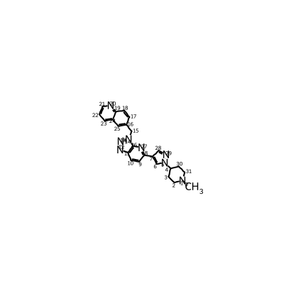 CN1CCC(n2cc(-c3ccc4nnn(Cc5ccc6ncccc6c5)c4n3)cn2)CC1